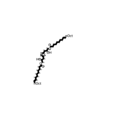 CCCCCCCCC=CCCCCCCCC(=O)OCC(O)Cc1nnc(CC(O)COC(=O)CCCCCCCC=CCCCCCCCC)s1